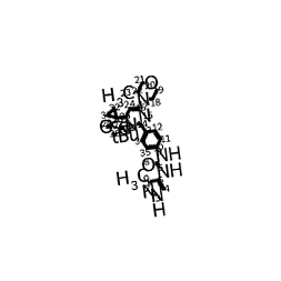 Cc1n[nH]cc1NC(=O)Nc1ccc(-c2nc(N3CCOC[C@@H]3C)cc(C3(S(=O)(=O)C(C)(C)C)CC3)n2)cc1